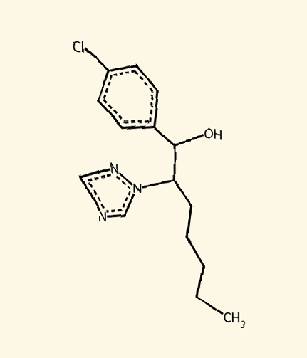 CCCCCC(C(O)c1ccc(Cl)cc1)n1cncn1